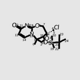 CC12CO[C@](CCl)(COc3nc(=O)ccn31)C2O[Si](C)(C)C(C)(C)C